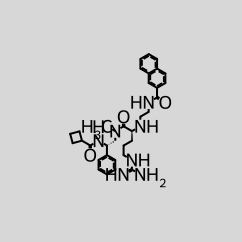 CN(C[C@@H](NC(=O)C1CCC1)c1ccccc1)C(=O)[C@H](CCCNC(=N)N)NCCNC(=O)c1ccc2ccccc2c1